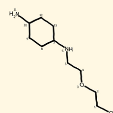 COCCOCCNC1CCC(N)CC1